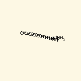 CCCCc1nc2c(N)nc3ccc(N4CCN(CCOCCOCCOCCOCCOCCOCCOCCOCCOCCOCCOCCOCCOCCOCCC(=O)C(C)C)CC4)cc3c2[nH]1